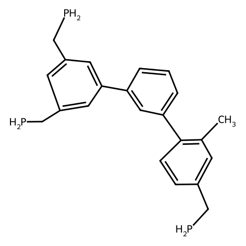 Cc1cc(CP)ccc1-c1cccc(-c2cc(CP)cc(CP)c2)c1